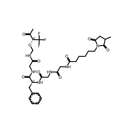 CC(=O)[C@@H](OCNC(=O)CNC(=O)[C@H](Cc1ccccc1)NC(=O)CNC(=O)CNC(=O)CCCCCN1C(=O)CC(C)C1=O)C(F)(F)F